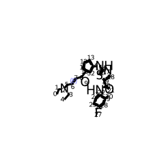 CCN(CC)C/C=C/C(=O)c1cccc(Nc2ncc(C(=O)Nc3ccc(F)cc3C)s2)c1